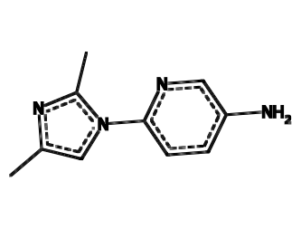 Cc1cn(-c2ccc(N)cn2)c(C)n1